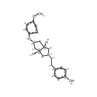 COc1ccc(O[C@H]2C[C@@H]3CN(CCc4ccc(O)cc4)C[C@@H]3C2)cc1